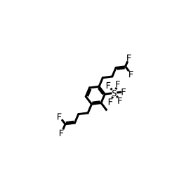 Cc1c(CCC=C(F)F)ccc(CCC=C(F)F)c1S(F)(F)(F)(F)F